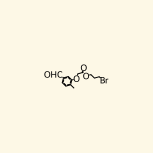 Cc1ccc(C=O)cc1OCC(=O)OCCCBr